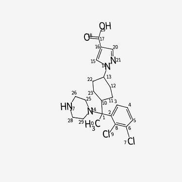 CC(c1cccc(Cl)c1Cl)(C1CCC(n2cc(C(=O)O)cn2)CC1)N1CCNCC1